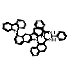 C1=CC2C3=C(CCC=C3)N(C3C=CC=C4C=C5C(CC43)C3=C(CCC=C3)N5C3=C(C4=NC(c5ccccc5)NC(c5ccccc5)N4)CCc4ccccc43)C2C=C1